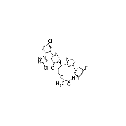 C[C@@H]1CCC[C@H](n2cnc(-c3cc(Cl)ccc3-n3cc(O)nn3)cc2=O)c2cc(ccn2)-c2cc(F)ccc2NC1=O